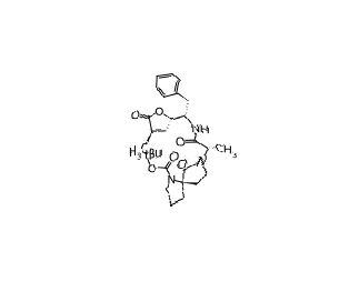 C[C@@H]1C[C@@H]([C@H](Cc2ccccc2)NC(=O)[C@H](C)N2CC[C@]3(CCCN3C(=O)OC(C)(C)C)C2=O)OC1=O